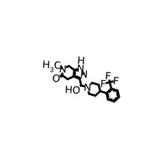 CN1Cc2[nH]nc(C(O)N3CCC(c4ccccc4C(F)(F)F)CC3)c2CC1=O